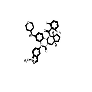 Cc1cccc(F)c1C(=O)N1[C@@H]2CCC[C@@H]2C[C@H](C(=O)Nc2ccc3c(cnn3C)c2)[C@@H]1c1ccc(NC2CCOCC2)cc1